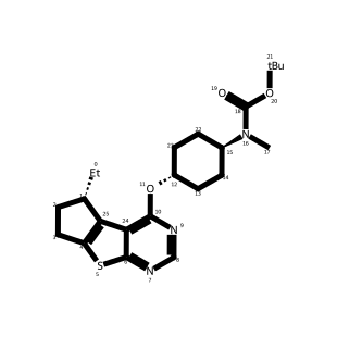 CC[C@H]1CCc2sc3ncnc(O[C@H]4CC[C@H](N(C)C(=O)OC(C)(C)C)CC4)c3c21